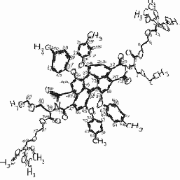 CCOCC(C(=O)OCCOC[Si](OC)(OC)OC)N1C(=O)c2cc(Oc3ccc(C)cc3)c3c4c(Oc5ccc(C)cc5)cc5c6c(cc(Oc7ccc(C)cc7)c(c7c(Oc8ccc(C)cc8)cc(c2c37)C1=O)c64)C(=O)N(C(COCC)C(=O)OCCOC[Si](OC)(OC)OC)C5=O